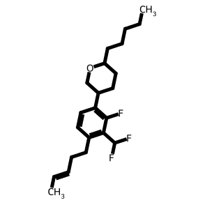 C/C=C/CCc1ccc(C2CCC(CCCCC)OC2)c(F)c1C(F)F